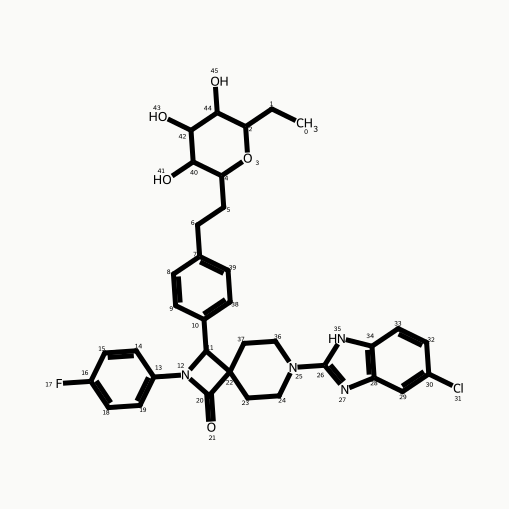 CCC1OC(CCc2ccc(C3N(c4ccc(F)cc4)C(=O)C34CCN(c3nc5cc(Cl)ccc5[nH]3)CC4)cc2)C(O)C(O)C1O